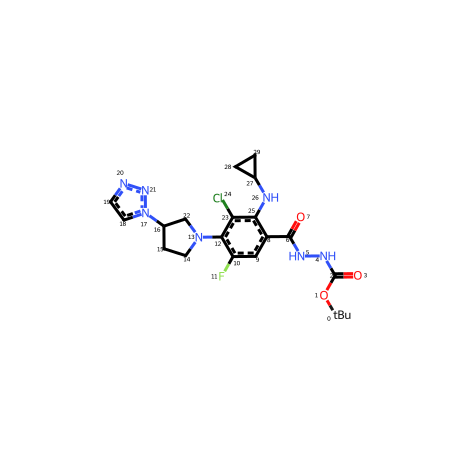 CC(C)(C)OC(=O)NNC(=O)c1cc(F)c(N2CCC(n3ccnn3)C2)c(Cl)c1NC1CC1